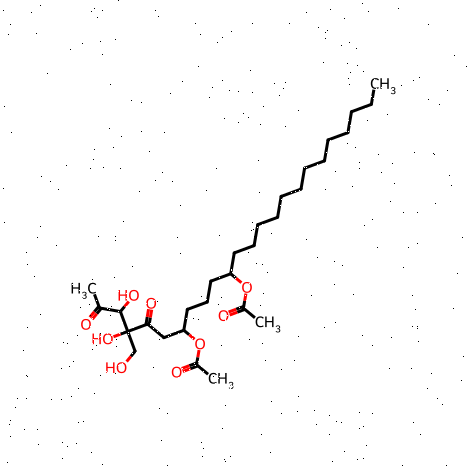 CCCCCCCCCCCCCC(CCCC(CC(=O)C(O)(CO)C(O)C(C)=O)OC(C)=O)OC(C)=O